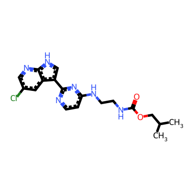 CC(C)COC(=O)NCCNc1ccnc(-c2c[nH]c3ncc(Cl)cc23)n1